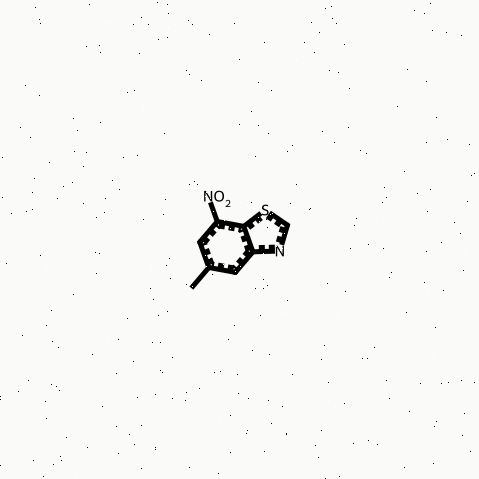 Cc1cc([N+](=O)[O-])c2scnc2c1